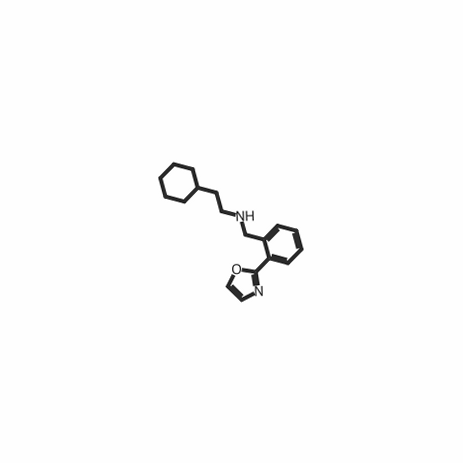 c1ccc(-c2ncco2)c(CNCCC2CCCCC2)c1